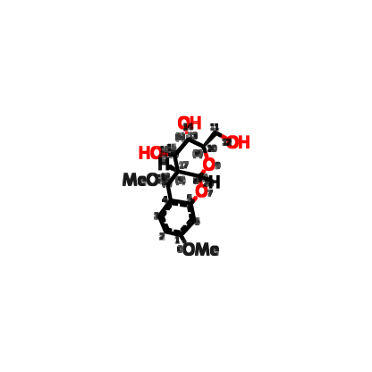 COc1ccc2c(c1)O[C@H]1O[C@H](CO)[C@@H](O)[C@H](O)[C@H]1[C@H]2OC